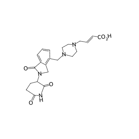 O=C(O)/C=C/CN1CCN(Cc2cccc3c2CN(C2CCC(=O)NC2=O)C3=O)CC1